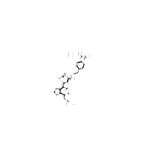 CCCc1nc2sc3c(NCCc4ccc(N(C)C)cc4)ncnc3c2c2c1CCC2